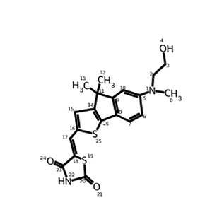 CN(CCO)c1ccc2c(c1)C(C)(C)c1cc(/C=C3\SC(=O)NC3=O)sc1-2